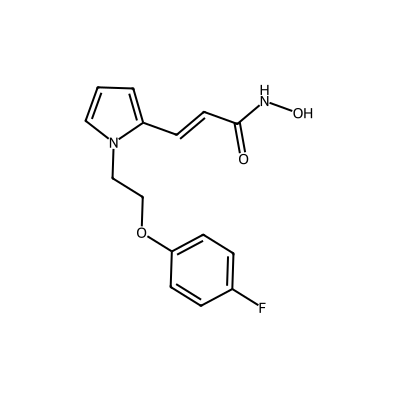 O=C(C=Cc1cccn1CCOc1ccc(F)cc1)NO